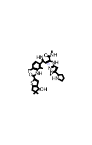 CNC(=O)/C(=C\C(=N)c1ccc(F)c(NC(=O)c2cc3c(s2)CC(C)(C)[C@H]3O)c1C)Nc1cc(C2CCCN2)n(C)n1